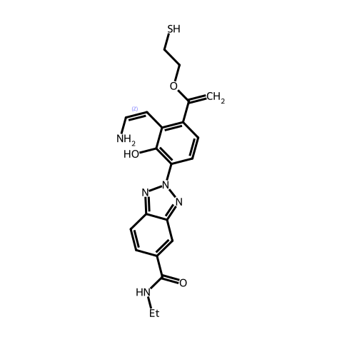 C=C(OCCS)c1ccc(-n2nc3ccc(C(=O)NCC)cc3n2)c(O)c1/C=C\N